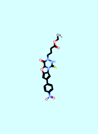 CCOC(=O)CCCN1NC(=S)N2C3C=C(c4ccc([N+](=O)[O-])cc4)C=C3OC2C1=O